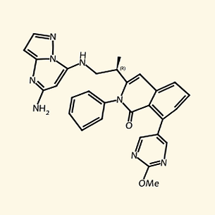 COc1ncc(-c2cccc3cc([C@H](C)CNc4cc(N)nc5ccnn45)n(-c4ccccc4)c(=O)c23)cn1